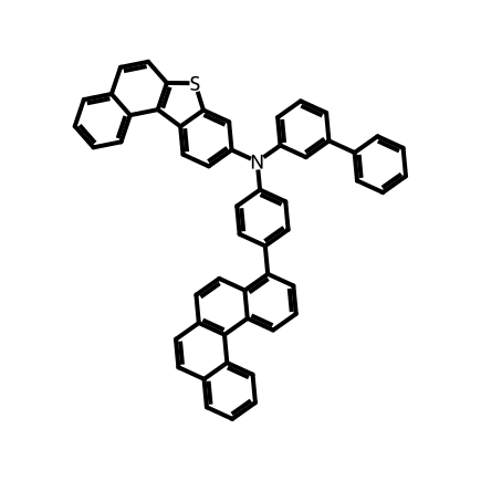 c1ccc(-c2cccc(N(c3ccc(-c4cccc5c4ccc4ccc6ccccc6c45)cc3)c3ccc4c(c3)sc3ccc5ccccc5c34)c2)cc1